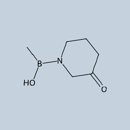 CB(O)N1CCCC(=O)C1